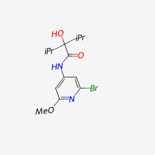 COc1cc(NC(=O)C(O)(C(C)C)C(C)C)cc(Br)n1